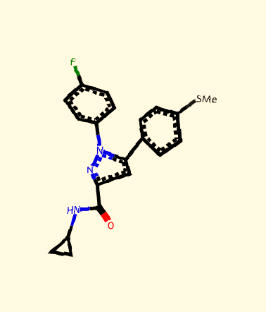 CSc1ccc(-c2cc(C(=O)NC3CC3)nn2-c2ccc(F)cc2)cc1